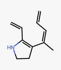 C=C/C=C(/C)C1=C(C=C)NCC1